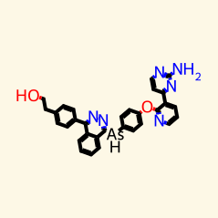 Nc1nccc(-c2cccnc2Oc2ccc([AsH]c3nnc(-c4ccc(CCO)cc4)c4ccccc34)cc2)n1